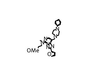 COCCN(C)c1ncc(CN2CCN(c3ccccc3)CC2)c2nc(-c3ccco3)nn12